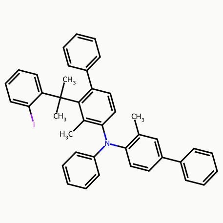 Cc1cc(-c2ccccc2)ccc1N(c1ccccc1)c1ccc(-c2ccccc2)c(C(C)(C)c2ccccc2I)c1C